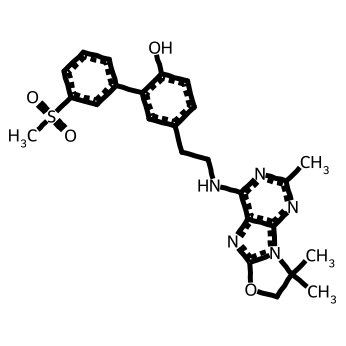 Cc1nc(NCCc2ccc(O)c(-c3cccc(S(C)(=O)=O)c3)c2)c2nc3n(c2n1)C(C)(C)CO3